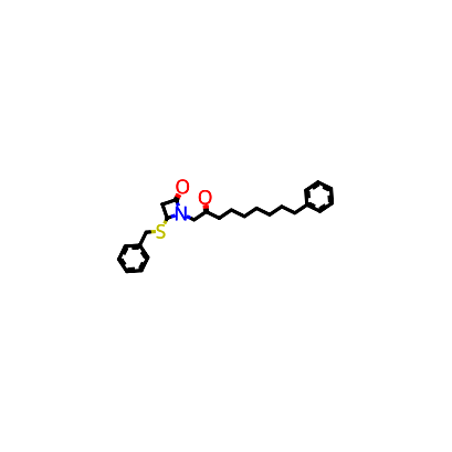 O=C(CCCCCCCc1ccccc1)CN1C(=O)CC1SCc1ccccc1